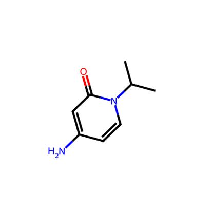 CC(C)n1ccc(N)cc1=O